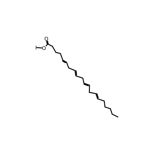 CCCCCC=CCC=CCC=CCC=CCCCC(=O)OI